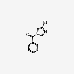 CCc1cn(C(=O)c2ccccc2)cn1